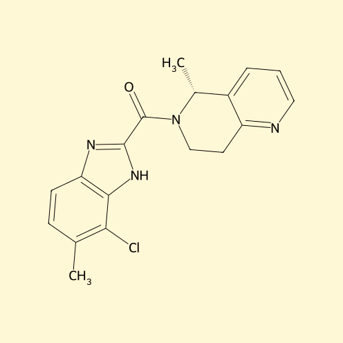 Cc1ccc2nc(C(=O)N3CCc4ncccc4[C@H]3C)[nH]c2c1Cl